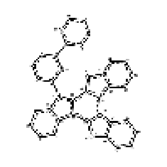 c1ccc(-c2cccc(-n3c4ccccc4c4c5oc6ccccc6c5c5c6ccccc6oc5c43)n2)nc1